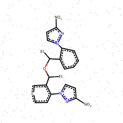 CCC(OC(CC)c1ccccc1-n1ccc([N+](=O)[O-])n1)c1ccccc1-n1ccc([N+](=O)[O-])n1